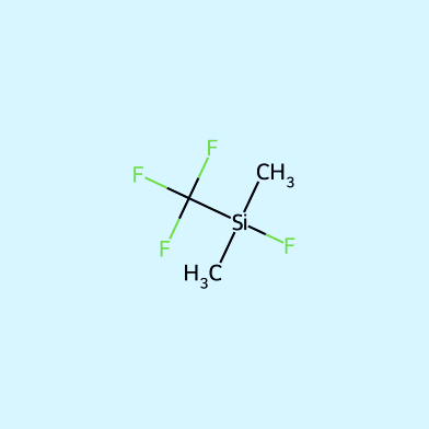 C[Si](C)(F)C(F)(F)F